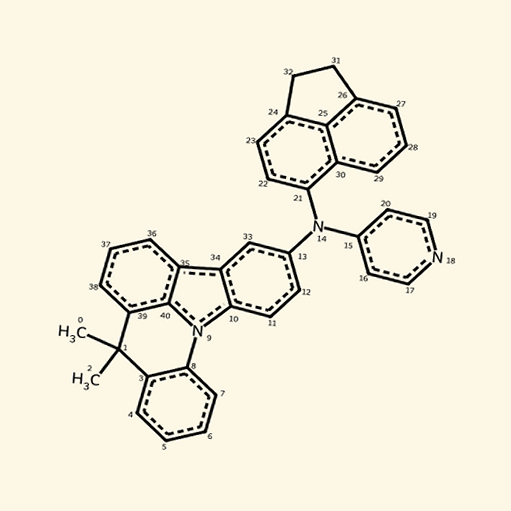 CC1(C)c2ccccc2-n2c3ccc(N(c4ccncc4)c4ccc5c6c(cccc46)CC5)cc3c3cccc1c32